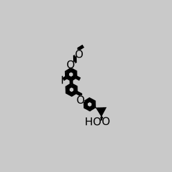 CCOCCOc1cc(C)c(-c2cccc(COc3ccc([C@@H]4C[C@H]4C(=O)O)cc3)c2)c(I)c1